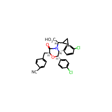 N#Cc1ccc(C[C@@H]2O[C@@H](c3ccc(Cl)cc3)[C@@H](c3ccc(Cl)cc3)N([C@@H](C(=O)O)C3CC3)C2=O)cc1